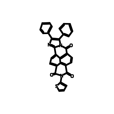 O=C1c2ccc3c(=O)n4c(-c5ccccc5)c(-c5ccccc5)nc4c4ccc(c2c34)C(=O)N1c1cccs1